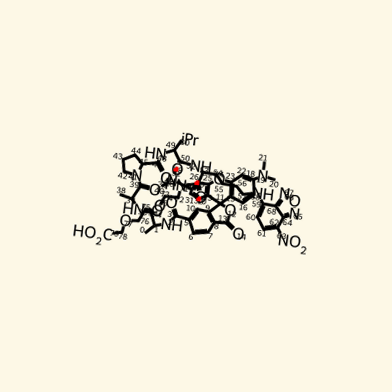 CC(NC(=O)c1ccc2c(c1)C1(OC2=O)c2ccc(N(C)C)cc2Oc2cc(N(C)C)ccc21)C(=O)NC(C)C(=O)N1CCCC1C(=O)NC(C(=O)NC(CCCCNc1ccc([N+](=O)[O-])c2nonc12)C(=O)NCCOCCOCC(=O)O)C(C)C